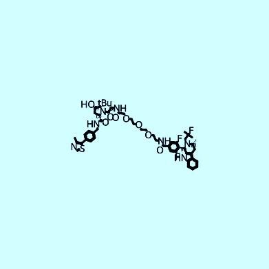 Cc1ncsc1-c1ccc(CNC(=O)[C@@H]2C[C@@H](O)CN2C(=O)[C@@H](NC(=O)COCCOCCOCCNC(=O)c2cc(F)c([C@@H]3c4[nH]c5ccccc5c4C[C@@H](C)N3CC(C)(C)F)c(F)c2)C(C)(C)C)cc1